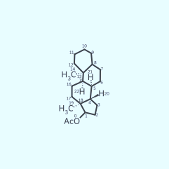 CC(=O)OC1CC[C@H]2[C@@H]3CCC4CCCC[C@]4(C)[C@@H]3CC[C@]12C